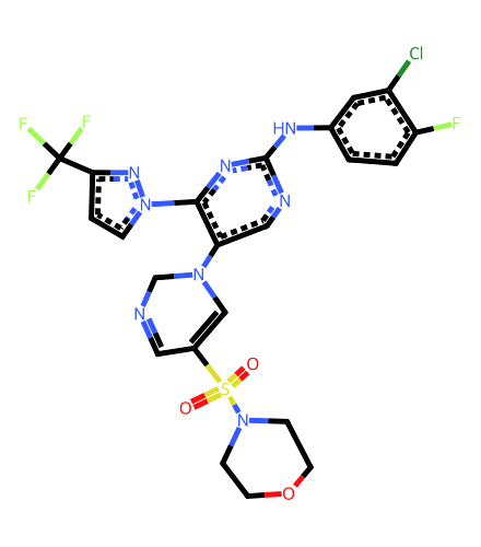 O=S(=O)(C1=CN(c2cnc(Nc3ccc(F)c(Cl)c3)nc2-n2ccc(C(F)(F)F)n2)CN=C1)N1CCOCC1